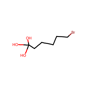 OC(O)(O)CCCCCBr